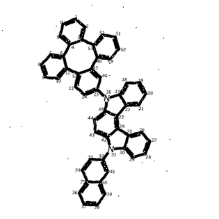 c1ccc2c(c1)-c1ccccc1-c1ccc(-n3c4ccccc4c4c5c6ccccc6n(-c6ccc7ccccc7c6)c5ccc43)cc1-c1ccccc1-2